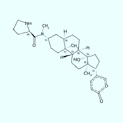 CN(C(=O)[C@H]1CCCN1)[C@H]1CC[C@@]2(C)[C@H](CC[C@@H]3[C@@H]2CC[C@]2(C)[C@@H](c4ccc(=O)oc4)CC[C@]32O)C1